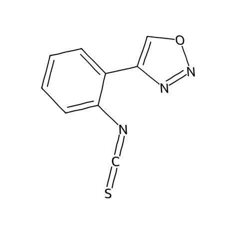 S=C=Nc1ccccc1-c1conn1